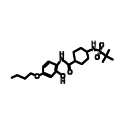 CCCCOc1ccc(NC(=O)C2CCC(NS(=O)(=O)C(C)(C)C)CC2)c(O)c1